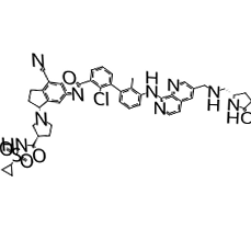 Cc1c(Nc2nccc3cc(CNC[C@@H]4CCC(=O)N4)cnc23)cccc1-c1cccc(-c2nc3cc4c(c(C#N)c3o2)CC[C@H]4N2CC[C@@H](C(=O)NS(=O)(=O)C3CC3)C2)c1Cl